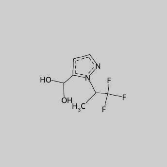 CC(n1nccc1C(O)O)C(F)(F)F